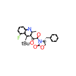 Cc1nc2cccc(F)c2c(C)c1[C@H](OC(C)(C)C)C(=O)N1C(=O)OC[C@H]1Cc1ccccc1